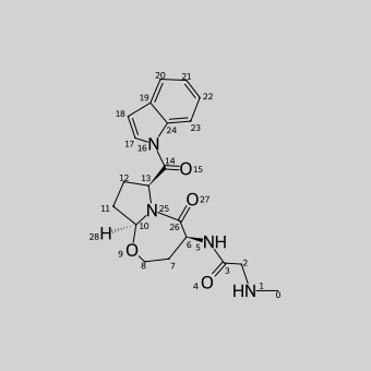 CNCC(=O)N[C@H]1CCO[C@H]2CC[C@@H](C(=O)n3ccc4ccccc43)N2C1=O